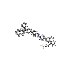 CCn1c2cccc3ccc4cc(-c5ccc(/C=C/c6ccc(-c7ccc(N(c8ccccc8)c8ccc9ccccc9c8)cc7)cn6)cc5)cc1c4c32